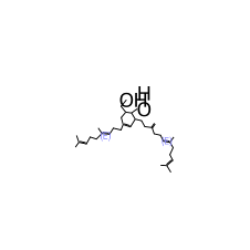 C=C(CC/C=C(\C)CCC=C(C)C)CCC1C=C(CC/C=C(\C)CCC=C(C)C)CC(CO)C1CO